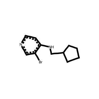 Brc1cn[c]cc1NCC1CCCC1